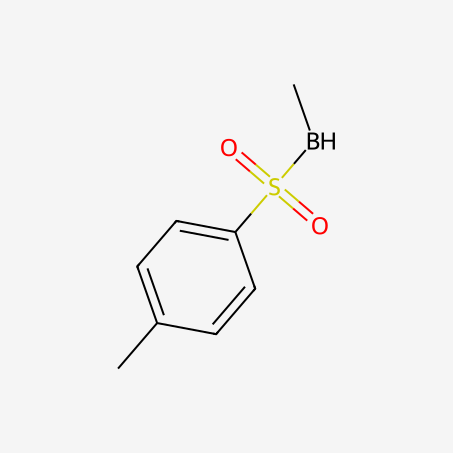 CBS(=O)(=O)c1ccc(C)cc1